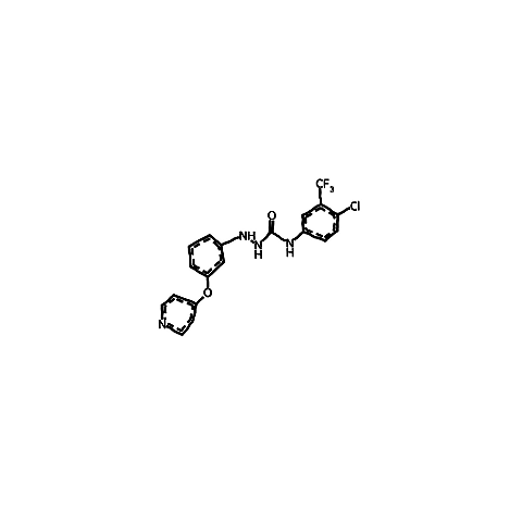 O=C(NNc1cccc(Oc2ccncc2)c1)Nc1ccc(Cl)c(C(F)(F)F)c1